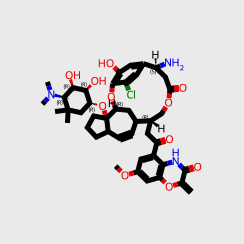 C=C1Oc2cc(OC)cc(C(=O)C[C@H]3COC(=O)C[C@H](N)c4cc(O)c(c(Cl)c4)O[C@@H]4CC3C#CC3CCCC34O[C@@H]3CC(C)(C)[C@@H](N(C)C)[C@@H](O)[C@H]3O)c2NC1=O